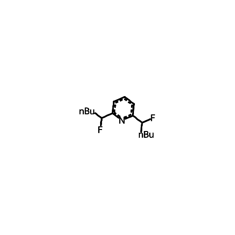 CCCCC(F)c1cccc(C(F)CCCC)n1